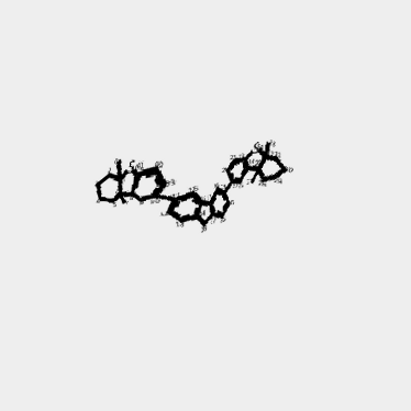 CC12CCCCC1(C)c1cc(-c3ccc4c(c3)-c3cc(-c5ccc6c(c5)C5(C)CCCCC5(C)S6)ccc3C4)ccc1S2